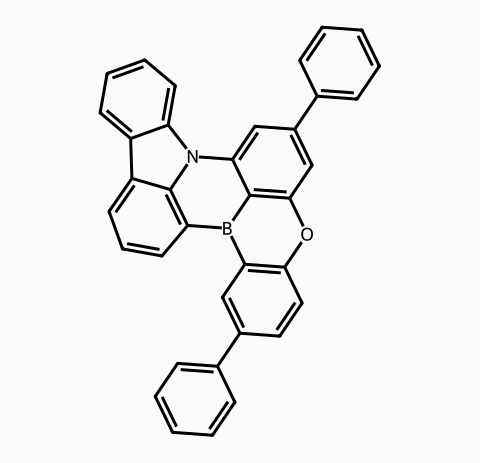 c1ccc(-c2ccc3c(c2)B2c4c(cc(-c5ccccc5)cc4-n4c5ccccc5c5cccc2c54)O3)cc1